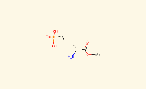 CCCOC(=O)C(N)C=CCP(=O)(O)O